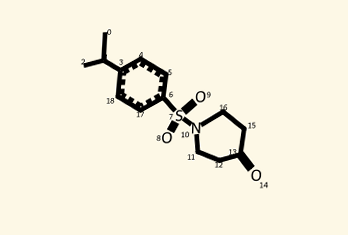 CC(C)c1ccc(S(=O)(=O)N2CCC(=O)CC2)cc1